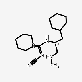 CNC[C@H](CC1CCCCC1)NC(=NC#N)N1CCCCC1